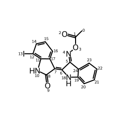 CC(=O)O/N=C1/C(=C2/C(=O)Nc3c(I)cccc32)Nc2ccccc21